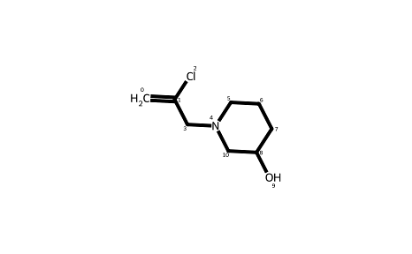 C=C(Cl)CN1CCCC(O)C1